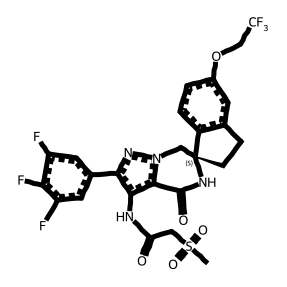 CS(=O)(=O)CC(=O)Nc1c(-c2cc(F)c(F)c(F)c2)nn2c1C(=O)N[C@]1(CCc3cc(OCC(F)(F)F)ccc31)C2